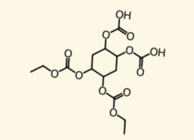 CCOC(=O)OC1CC(OC(=O)O)C(OC(=O)O)CC1OC(=O)OCC